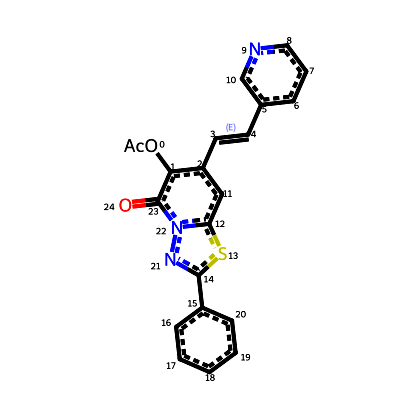 CC(=O)Oc1c(/C=C/c2cccnc2)cc2sc(-c3ccccc3)nn2c1=O